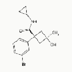 C[C@]1(O)C[C@](C(=O)NC2CC2)(c2cccc(Br)c2)C1